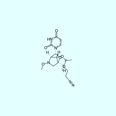 [2H]C[C@@]12CN(OC)[C@@H]([C@H](n3ccc(=O)[nH]c3=O)O1)[C@@H]2OP(C)OCCC#N